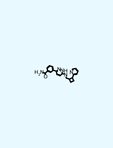 NC(=O)c1cccc(-c2ccc(NCC3CCC3c3ccccn3)nn2)c1